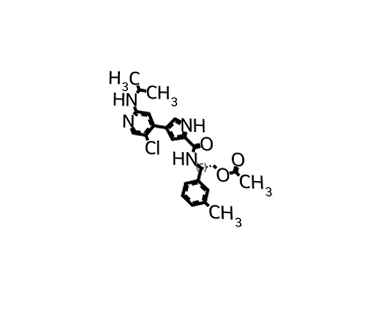 CC(=O)OC[C@@H](NC(=O)c1cc(-c2cc(NC(C)C)ncc2Cl)c[nH]1)c1cccc(C)c1